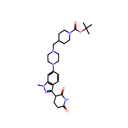 Cn1nc(C2CCC(=O)NC2=O)c2ccc(N3CCN(CC4CCN(C(=O)OC(C)(C)C)CC4)CC3)cc21